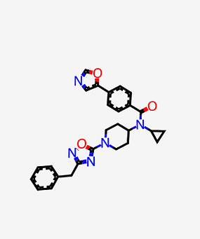 O=C(c1ccc(-c2cnco2)cc1)N(C1CC1)C1CCN(c2nc(Cc3ccccc3)no2)CC1